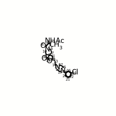 CC(=O)N[C@H](C)C(=O)N1CCC2(CC1)C[C@H](CCN1CCN(c3cccc(Cl)c3)CC1)OC2=O